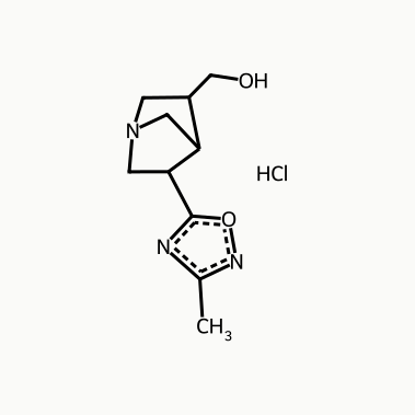 Cc1noc(C2CN3CC(CO)C2C3)n1.Cl